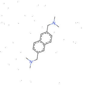 CN(C)Cc1ccc2cc(CN(C)C)ccc2c1